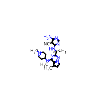 Cc1ccn2nc([C@H](C)Nc3ncnc(N)c3C#N)nc(N(C)C3CCN(C)CC3)c12